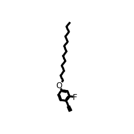 C#Cc1ccc(OCCCCCCCCCCCCC)cc1F